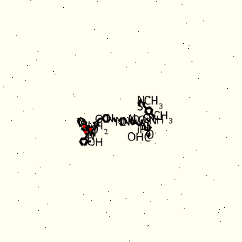 Cc1ncsc1-c1ccc([C@H](C)NC(=O)[C@@H]2C[C@@H](OC=O)CN2C(=O)[C@@H](c2cc(N3CCN(CCN4CCC(OC5CC(Oc6cc(N7C8CCC7CN(c7cc(-c9ccccc9O)nnc7N)C8)ccn6)C5)CC4)CC3)no2)C(C)C)cc1